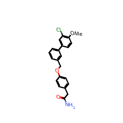 COc1ccc(-c2cccc(COc3ccc(CC(N)=O)cc3)c2)cc1Cl